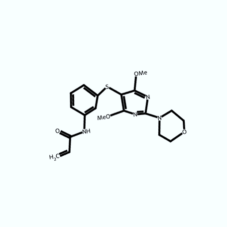 C=CC(=O)Nc1cccc(Sc2c(OC)nc(N3CCOCC3)nc2OC)c1